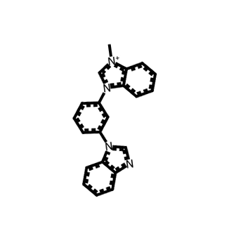 C[n+]1cn(-c2cccc(-n3cnc4ccccc43)c2)c2ccccc21